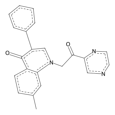 Cc1ccc2c(=O)c(-c3ccccc3)cn(CC(=O)c3cnccn3)c2c1